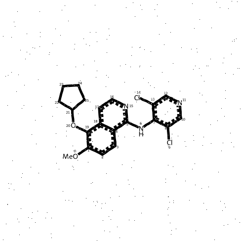 COc1ccc2c(Nc3c(Cl)cncc3Cl)nccc2c1OC1CCCC1